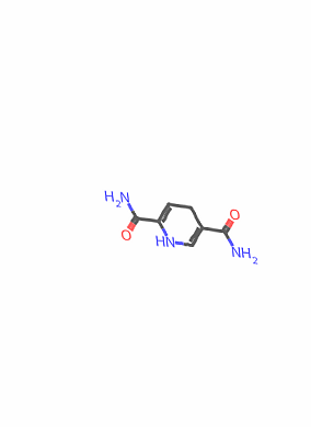 NC(=O)C1=CNC(C(N)=O)=CC1